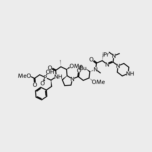 CC[C@H](C)[C@@H]([C@@H](CC(=O)N1CCC[C@H]1[C@H](OC)[C@@H](C)C(=O)N[C@@H](Cc1ccccc1)P(=O)(O)CC(=O)OC)OC)N(C)C(=O)[C@@H](/N=C(\N(C)C)N1CCNCC1)C(C)C